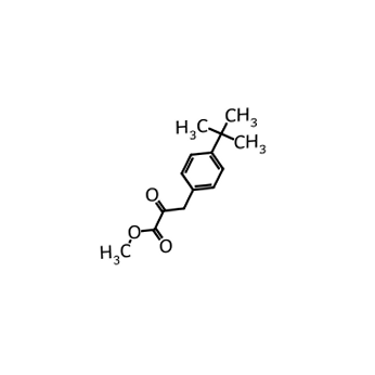 COC(=O)C(=O)Cc1ccc(C(C)(C)C)cc1